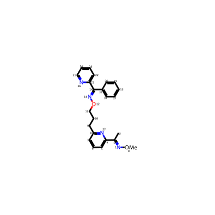 CO/N=C(\C)c1cccc(CCCO/N=C(\c2ccccc2)c2ccccn2)n1